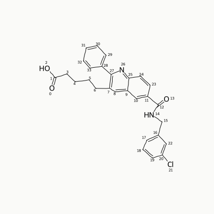 O=C(O)CCCCc1cc2cc(C(=O)NCc3cccc(Cl)c3)ccc2nc1-c1ccccc1